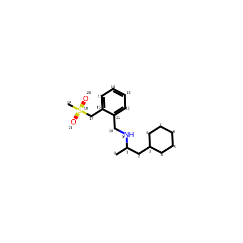 CC(CC1CCCCC1)NCc1ccccc1CS(C)(=O)=O